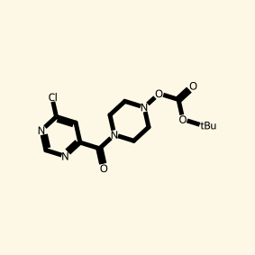 CC(C)(C)OC(=O)ON1CCN(C(=O)c2cc(Cl)ncn2)CC1